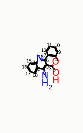 Nc1c(C(=O)O)c(-c2ccccc2)nc2ccccc12